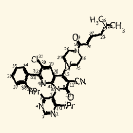 CC(C)c1ncnc(C(C)C)c1-n1c(=O)c(C#N)c(N2CCN(C(=O)C=CCN(C)C)CC2)c2cc(Cl)c(-c3ccccc3F)nc21